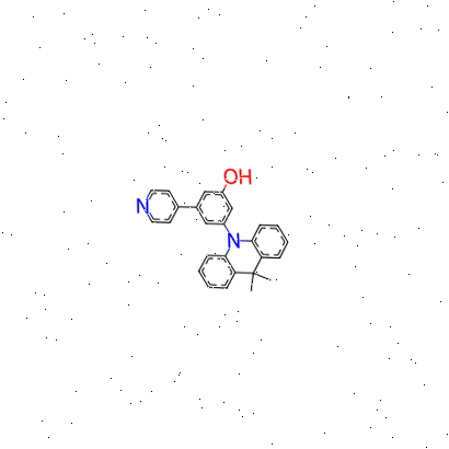 CC1(C)c2ccccc2N(c2cc(O)cc(-c3ccncc3)c2)c2ccccc21